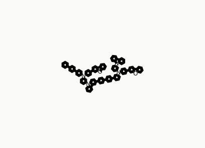 c1ccc(-c2ccc(-c3ccc(N(c4ccc(-c5ccc6c(c5)oc5ccccc56)cc4)c4cccc(-n5c6ccccc6c6cc(-c7ccc(-c8ccc(-c9cccc(N(c%10ccc(-c%11ccc%12c(c%11)oc%11ccccc%11%12)cc%10)c%10cccc(-n%11c%12ccccc%12c%12ccccc%12%11)c%10)c9)cc8)cc7)ccc65)c4)cc3)cc2)cc1